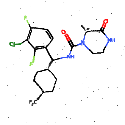 C[C@@H]1C(=O)NCCN1C(=O)NC(c1ccc(F)c(Cl)c1F)[C@H]1CC[C@H](C(F)(F)F)CC1